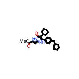 COC(=O)c1cc2[nH]c(-c3ccc(Cc4ccccc4)cc3)c(C3CCCCC3)c(=O)n2n1